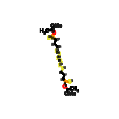 COC(C)O/P(=S)=C/CCSSSSSSCC/C=P(=S)/OC(C)OC